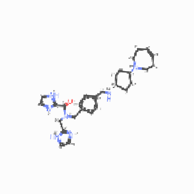 O=C(c1ncc[nH]1)N(Cc1ccc(CN[C@H]2CC[C@H](N3CCC=CCC3)CC2)cc1)Cc1ncc[nH]1